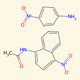 CC(=O)Nc1ccc([N+](=O)[O-])c2ccccc12.Nc1ccc([N+](=O)[O-])cc1